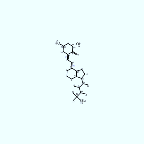 C=C1/C(=C\C=C2/CCCC3C2CCC3C(C)C(C)C(C)C(C)(C)C(C)(C)C)C[C@@H](O)C[C@@H]1O